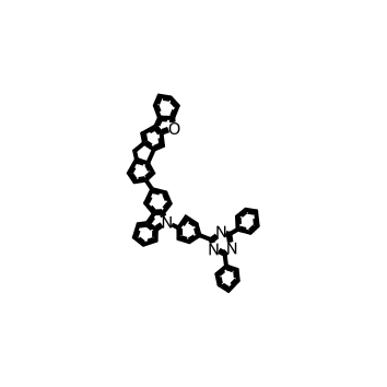 c1ccc(-c2nc(-c3ccccc3)nc(-c3ccc(-n4c5ccccc5c5cc(-c6ccc7c(c6)-c6cc8oc9ccccc9c8cc6C7)ccc54)cc3)n2)cc1